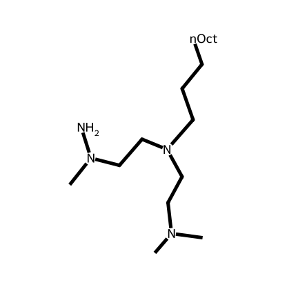 CCCCCCCCCCCN(CCN(C)C)CCN(C)N